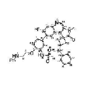 CC(C)NCCOc1ncc(-c2cc3c4c(cnc3cc2F)N(C)C(=O)C42CC(N(C)c3ccccc3)C2)cc1NS(C)(=O)=O